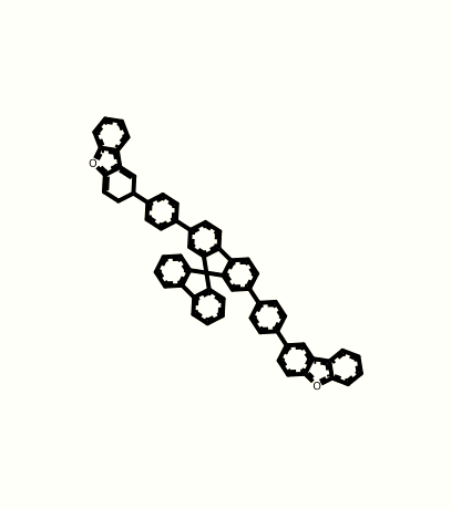 C1=c2oc3ccccc3c2=CC(c2ccc(-c3ccc4c(c3)C3(c5ccccc5-c5ccccc53)c3cc(-c5ccc(-c6ccc7oc8ccccc8c7c6)cc5)ccc3-4)cc2)C1